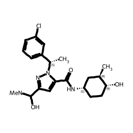 CNC(O)c1cc(C(=O)N[C@H]2CC[C@@H](O)[C@H](C)C2)n([C@@H](C)c2cccc(Cl)c2)n1